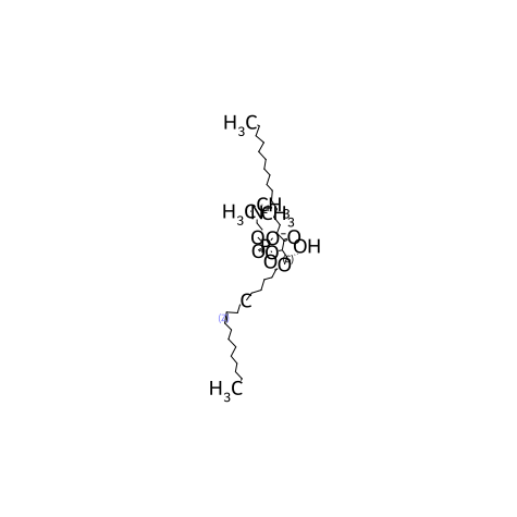 CCCCCCCC/C=C\CCCCCCCC(=O)O[C@@H](CO)C(OP(=O)([O-])OCC[N+](C)(C)C)C(=O)CCCCCCCCCCCCCCC